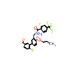 CCCOc1ccc(-c2cc(C=O)ccc2F)cc1CNC(=O)c1ccc(C(F)(F)F)cc1F